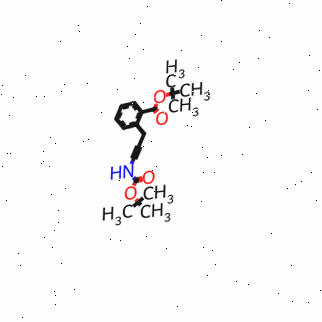 CC(C)(C)OC(=O)NC#CCc1ccccc1C(=O)OC(C)(C)C